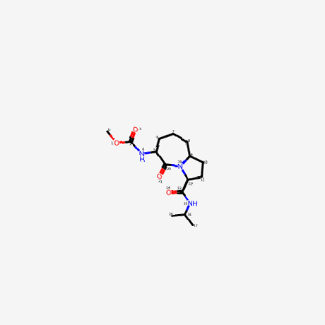 COC(=O)NC1CCCC2CCC(C(=O)NC(C)C)N2C1=O